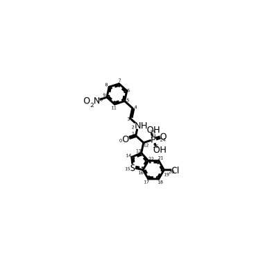 O=C(NC=Cc1cccc([N+](=O)[O-])c1)C(c1csc2ccc(Cl)cc12)P(=O)(O)O